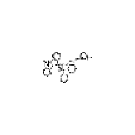 CN1c2ccccc2C2C1c1ccccc1C2[Si](C)(CCCCCCOC(C)(C)C)C1C2C=CC=CC2C2C=CC=CC21